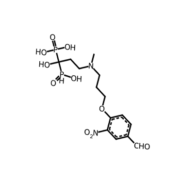 CN(CCCOc1ccc(C=O)cc1[N+](=O)[O-])CCC(O)([PH](=O)O)P(=O)(O)O